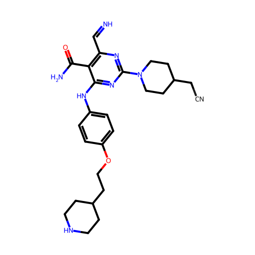 N#CCC1CCN(c2nc(C=N)c(C(N)=O)c(Nc3ccc(OCCC4CCNCC4)cc3)n2)CC1